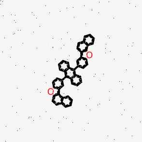 c1ccc2c(c1)ccc1c3cc(-c4c5ccccc5c(-c5ccc6oc7ccc8ccccc8c7c6c5)c5ccccc45)ccc3oc21